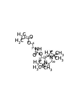 C=C(C)C(=O)OCCNC(=O)OCC1CN(C(C)(C)C)CCN1C(C)(C)C